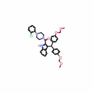 COCOc1ccc(C(c2ccc(OCOC)cc2)c2c(C(=O)N3CCN(c4ccccc4Cl)CC3)[nH]c3ccccc23)cc1